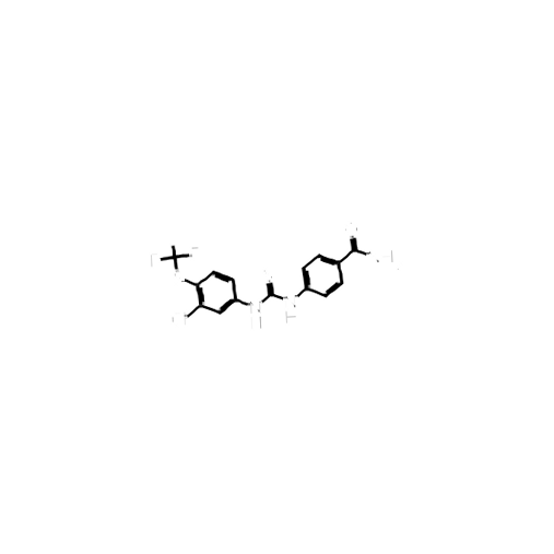 NC(=O)c1ccc(NC(=S)Nc2ccc(SC(F)(F)F)c(Cl)c2)cc1